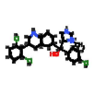 Cn1cncc1C(O)(c1ccc(Cl)cc1)c1ccc2ncc(-c3c(Cl)cccc3Cl)cc2c1